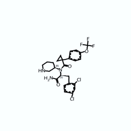 NC(=O)[C@H](Cc1ccc(Cl)cc1Cl)N(C(=O)C1(c2ccc(OC(F)(F)F)cc2)CC1)[C@@H]1CCCNC1